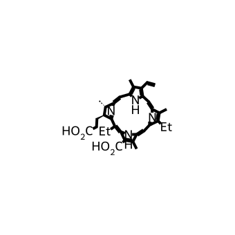 C=Cc1c(C)c2cc3nc(c(CC)c4[nH]c(cc5nc(cc1[nH]2)C(C)=C5CC)c(C)c4C(=O)O)[C@@H](CCC(=O)O)[C@@H]3C